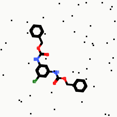 O=C(Nc1cc(Cl)cc(NC(=O)OCc2ccccc2)c1)OCc1ccccc1